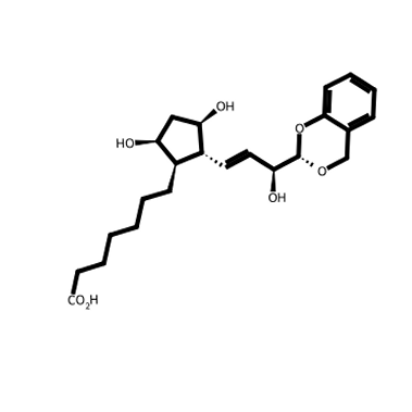 O=C(O)CCCCCC[C@@H]1[C@@H](/C=C/[C@H](O)[C@H]2OCc3ccccc3O2)[C@H](O)C[C@@H]1O